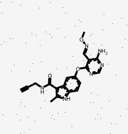 C#CCNC(=O)c1c(C)[nH]c2ccc(Oc3ncnc(N)c3C=NOC)cc12